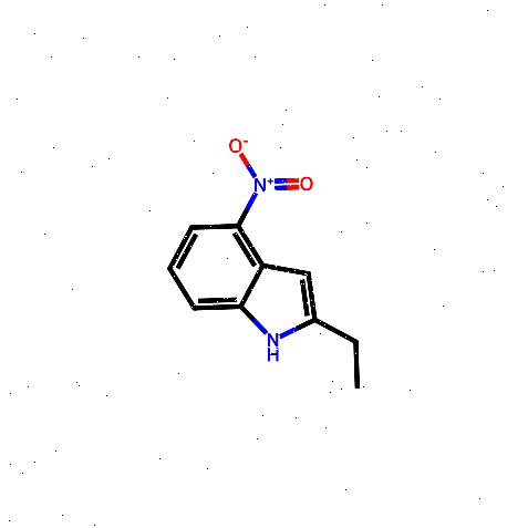 CCc1cc2c([N+](=O)[O-])cccc2[nH]1